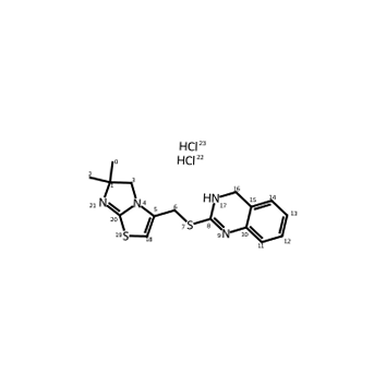 CC1(C)CN2C(CSC3=Nc4ccccc4CN3)=CSC2=N1.Cl.Cl